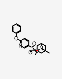 CC1(C)CC2CC(C)(C1)N2OS(=O)(=O)c1ccc(Oc2ccccc2)nc1